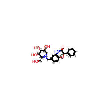 O=C1Nc2cc(CN3C[C@H](O)[C@@H](O)[C@@H](O)[C@@H]3CO)ccc2OC1c1ccccc1